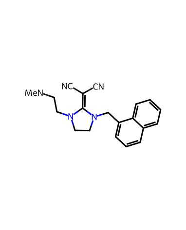 CNCCN1CCN(Cc2cccc3ccccc23)C1=C(C#N)C#N